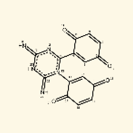 N=c1nc(C2=CC(=O)C=CC2=O)n(C2=CC(=O)C=CC2=O)c(=N)[nH]1